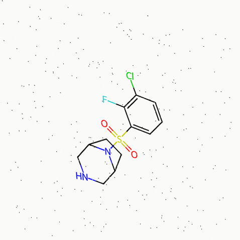 O=S(=O)(c1cccc(Cl)c1F)N1C2CCC1CNC2